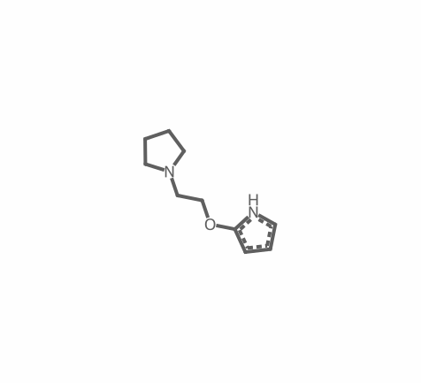 c1c[nH]c(OCCN2CCCC2)c1